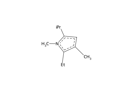 CCc1c(C)cc(C(C)C)n1C